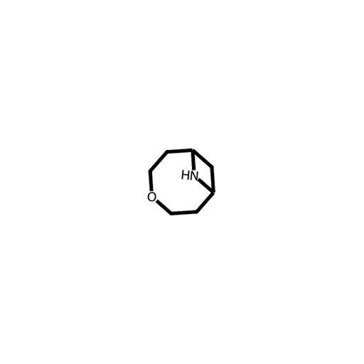 C1CC2CC(CCO1)N2